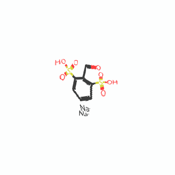 O=Cc1c(S(=O)(=O)O)cccc1S(=O)(=O)O.[Na].[Na]